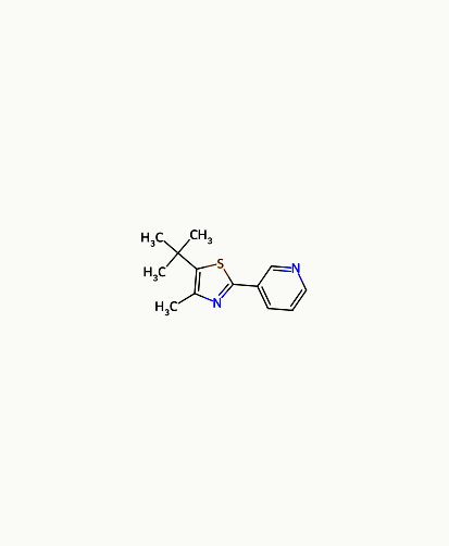 Cc1nc(-c2cccnc2)sc1C(C)(C)C